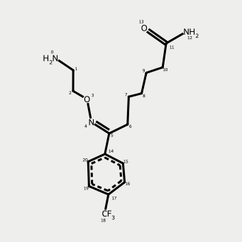 NCCON=C(CCCCCC(N)=O)c1ccc(C(F)(F)F)cc1